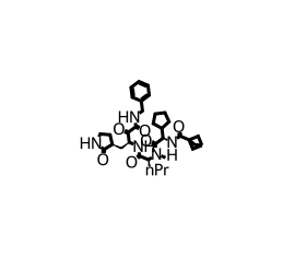 CCC[C@@H](C(=O)N[C@@H](C[C@@H]1CCNC1=O)C(=O)C(=O)NCc1ccccc1)N(C)C(=O)[C@H](NC(=O)C12CC(C1)C2)C1CCCC1